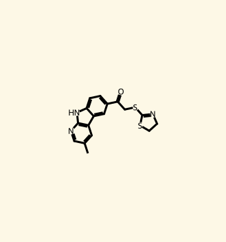 Cc1cnc2[nH]c3ccc(C(=O)CSC4=NCCS4)cc3c2c1